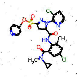 Cc1cc(Cl)cc(C(=O)N(C)C2CC2)c1NC(=O)C1CC(S(=O)(=O)Oc2ccncc2)=NN1c1ncccc1Cl